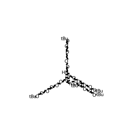 CC(C)(C)OCCOCCOCCCCOCCOCCNC(C)(C)N(CCOCCOCCCOCCOCCOC(C)(C)C)C(C)(C)N(CCOCCOCCOCCOCCOCCOC(C)(C)C)C(C)(C)CN(CCOCCOCCOCCOCCOC(C)(C)C)C(C)(C)C